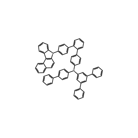 c1ccc(-c2ccc(N(c3ccc(-c4ccccc4-c4ccc(-n5c6ccccc6c6c7ccccc7ccc65)cc4)cc3)c3cc(-c4ccccc4)cc(-c4ccccc4)c3)cc2)cc1